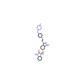 CN1CCN(Cc2ccc(/C=C/c3n[nH]c4cc([C@@H]5CC56C(=O)Nc5ccccc56)ccc34)cc2)CC1